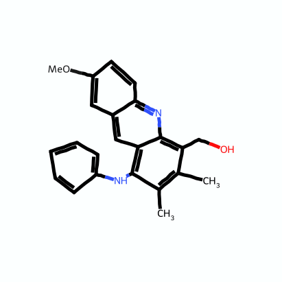 COc1ccc2nc3c(CO)c(C)c(C)c(Nc4ccccc4)c3cc2c1